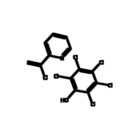 C=C(Cl)c1ccccn1.Oc1c(Cl)c(Cl)c(Cl)c(Cl)c1Cl